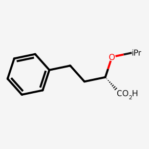 CC(C)O[C@@H](CCc1ccccc1)C(=O)O